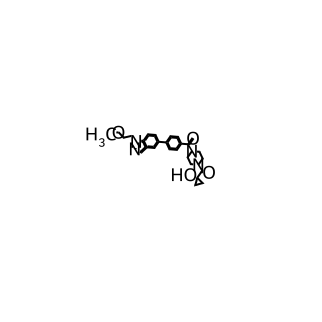 COCCn1ncc2cc(-c3ccc(C(=O)N4CCN(C(=O)C5(O)CC5)CC4)cc3)ccc21